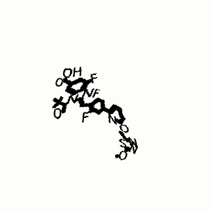 COc1nnc(COc2cccc(-c3cc(F)c(Cc4nc5c(F)cc(C(=O)O)cc5n4[C@@H]4COCC4(C)C)c(F)c3)n2)s1